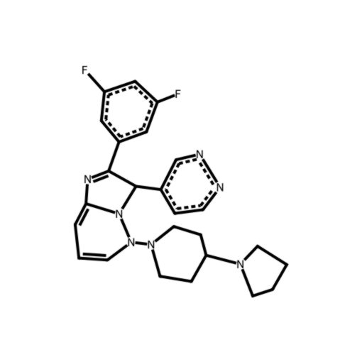 Fc1cc(F)cc(C2=NC3=CC=CN(N4CCC(N5CCCC5)CC4)N3C2c2ccnnc2)c1